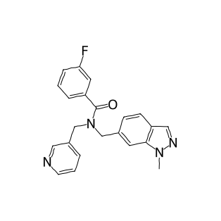 Cn1ncc2ccc(CN(Cc3cccnc3)C(=O)c3cccc(F)c3)cc21